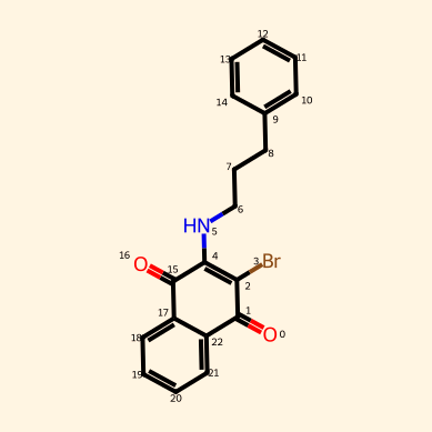 O=C1C(Br)=C(NCCCc2ccccc2)C(=O)c2ccccc21